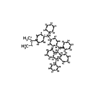 CCC(C)c1ccc(N(c2ccccc2)c2ccc(N(c3ccccc3)c3c4ccccc4c(-c4ccccc4)c4ccccc34)cc2)cc1